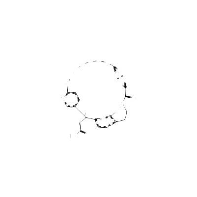 C[C@@H](C(=O)O)[C@H]1c2ccc(nc2)OCCCCCCc2ccc(cc2)C(=O)N2CCc3ccc1cc3C2